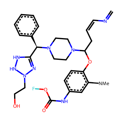 C=N/C=C\CC(Oc1ccc(NC(=O)OF)cc1NC)N1CCN([C@@H](C2=NN(CCO)NN2)c2ccccc2)CC1